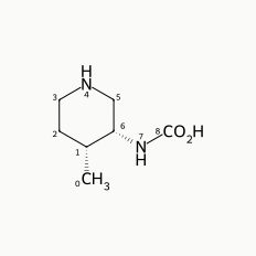 C[C@@H]1CCNC[C@@H]1NC(=O)O